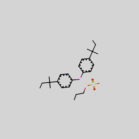 CCC(C)(C)c1ccc([I+]c2ccc(C(C)(C)CC)cc2)cc1.CCCOS(=O)(=O)[O-]